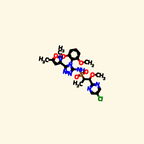 COc1cccc(OC)c1-n1c(NS(=O)(=O)C(C)C(OC)c2ncc(Cl)cn2)nnc1-c1cc(C)on1